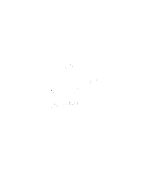 N#Cc1nn[nH]c1F